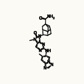 Cc1cc2ncnn2cc1Nc1ncc2c(n1)n(C1C3CC4CC1CC(C(N)=O)(C4)C3)c(=O)n2C